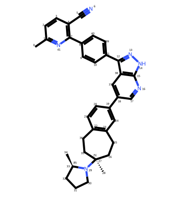 Cc1ccc(C#N)c(-c2ccc(-c3n[nH]c4ncc(-c5ccc6c(c5)CC[C@@](C)(N5CCC[C@H]5C)CC6)cc34)cc2)n1